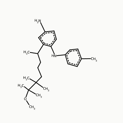 COC(C)(C)C(C)(C)CCCC(C)c1cc(N)ccc1Nc1ccc(C)cc1